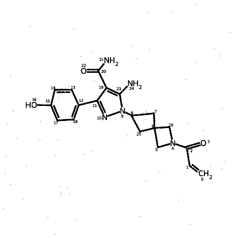 C=CC(=O)N1CC2(CC(n3nc(-c4ccc(O)cc4)c(C(N)=O)c3N)C2)C1